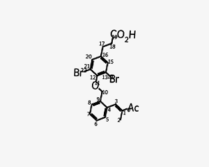 CC(=O)/C(C)=C/c1ccccc1COc1c(Br)cc(CCC(=O)O)cc1Br